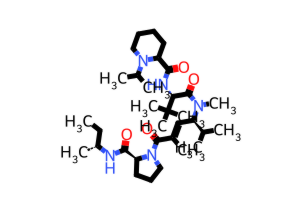 CC[C@@H](C)NC(=O)[C@@H]1CCCN1C(=O)/C(C)=C/[C@H](C(C)C)N(C)C(=O)[C@@H](NC(=O)C1CCCCN1C(C)C)C(C)(C)C